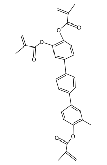 C=C(C)C(=O)Oc1ccc(-c2ccc(-c3ccc(OC(=O)C(=C)C)c(OC(=O)C(=C)C)c3)cc2)cc1C